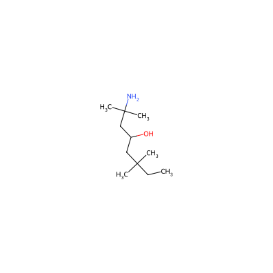 CCC(C)(C)CC(O)CC(C)(C)N